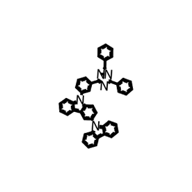 c1ccc(C2N=C(c3cccc(-n4c5ccccc5c5cc(-n6c7ccccc7c7ccccc76)ccc54)c3)N3C(c4ccccc4)N23)cc1